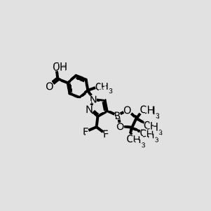 CC1(n2cc(B3OC(C)(C)C(C)(C)O3)c(C(F)F)n2)C=CC(C(=O)O)=CC1